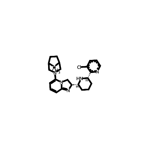 CN1C2CCC1CN(C1=CC=CC3=NC([C@H]4CCC[C@@H](c5ncccc5Cl)N4)CN13)C2